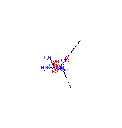 CCCCCCCCCCCCCCCCOC(=O)NCCSC[C@@H](NC(=O)NCCCCCCCCCCCCCC)C(=O)N[C@H](CO)C(=O)N[C@@H](CCCCN)C(=O)N[C@@H](CCCCN)C(=O)O